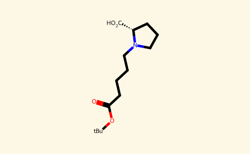 CC(C)(C)OC(=O)CCCCN1CCC[C@H]1C(=O)O